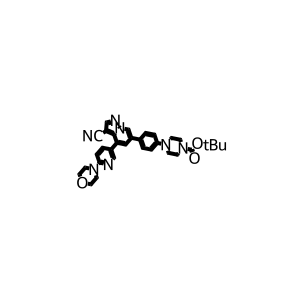 CC(C)(C)OC(=O)N1CCN(c2ccc(-c3cc(-c4ccc(N5CCOCC5)nc4)c4c(C#N)cnn4c3)cc2)CC1